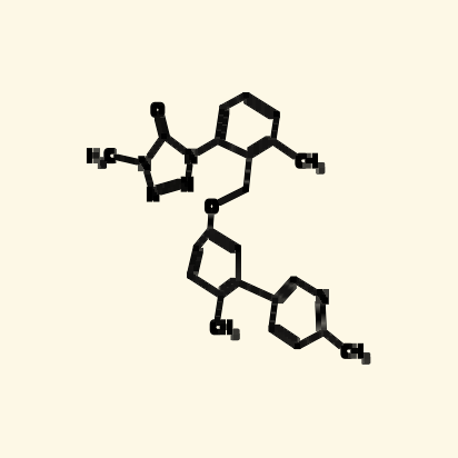 Cc1ccc(-c2cc(OCc3c(C)cccc3-n3nnn(C)c3=O)ccc2C)cn1